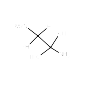 [2H]C([2H])(NC)C(C)(C)N